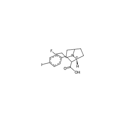 O=C(O)C1C(c2ccc(I)cc2)CC2CC[C@H]1N2CCCF